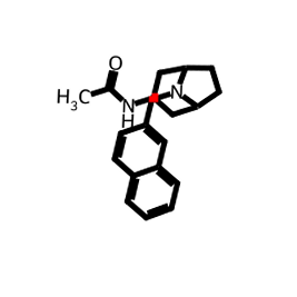 CC(=O)NC1CC2CCC(C1)N2Cc1ccc2ccccc2c1